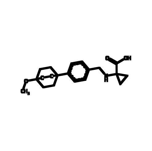 COC12CCC(c3ccc(CNC4(C(=O)O)CC4)cc3)(CC1)CC2